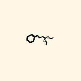 CCOC(CCC[C]1CCCCC1)OCC